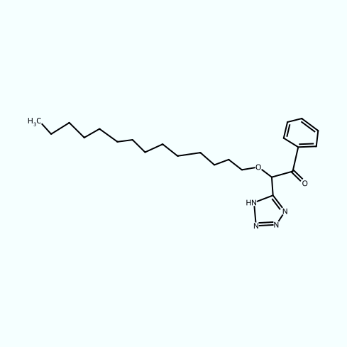 CCCCCCCCCCCCCCOC(C(=O)c1ccccc1)c1nnn[nH]1